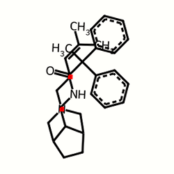 CC(C)=CCCN1CC2CCC(C1)C2CNC(=O)C(C)(c1ccccc1)c1ccccc1